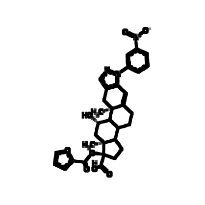 C[C@]12Cc3cnn(-c4cccc([N+](=O)[O-])c4)c3C=C1CCC1C2[C@@H](O)C[C@@]2(C)C1CC[C@]2(OC(=O)c1ccco1)C(=O)O